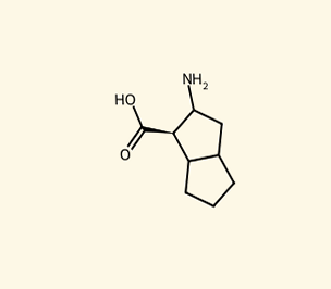 NC1CC2CCCC2[C@H]1C(=O)O